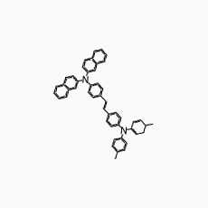 Cc1ccc(N(C2=CCC(C)C=C2)c2ccc(/C=C/c3ccc(N(c4ccc5ccccc5c4)c4ccc5ccccc5c4)cc3)cc2)cc1